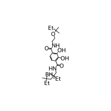 BC(C)(CC)CC(C)(CC)CNC(=O)c1ccc(C(=O)NCCOC(C)(C)CC)c(O)c1O